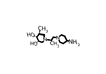 C[C@H]1CN([C@@H](C)CN2CCC(N)CC2)C[C@H](O)[C@@H]1O